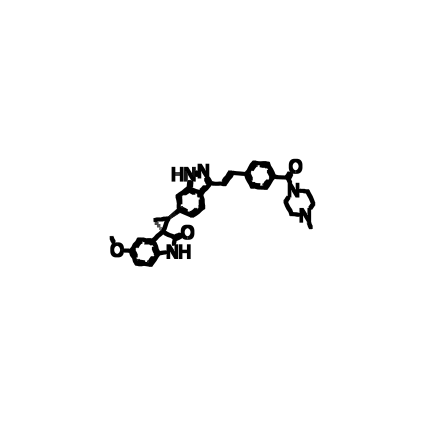 COc1ccc2c(c1)[C@]1(C[C@H]1c1ccc3c(/C=C/c4ccc(C(=O)N5CCN(C)CC5)cc4)n[nH]c3c1)C(=O)N2